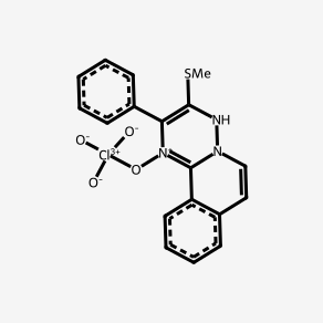 CSC1=C(c2ccccc2)[N+](O[Cl+3]([O-])([O-])[O-])=C2c3ccccc3C=CN2N1